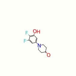 O=C1CCN(c2cc(O)c(F)c(F)c2)CC1